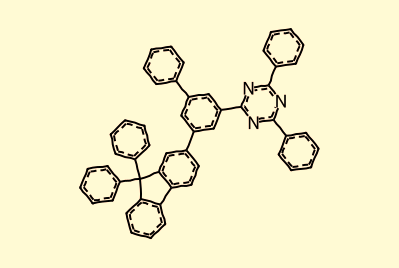 c1ccc(-c2cc(-c3ccc4c(c3)C(c3ccccc3)(c3ccccc3)c3ccccc3-4)cc(-c3nc(-c4ccccc4)nc(-c4ccccc4)n3)c2)cc1